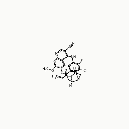 C=CC(=O)N1[C@@H]2CC[C@H]1C[C@H](Oc1cc3c(Nc4ccc(Cl)c(Cl)c4F)c(C#N)cnc3cc1OC)C2